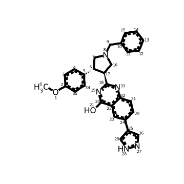 COc1ccc([C@@H]2CN(Cc3ccccc3)C[C@H]2c2nc(O)c3cc(-c4cn[nH]c4)ccc3n2)cc1